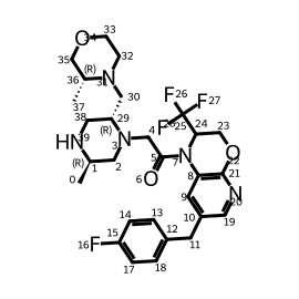 C[C@@H]1CN(CC(=O)N2c3cc(Cc4ccc(F)cc4)cnc3OCC2C(F)(F)F)[C@@H](CN2CCOC[C@H]2C)CN1